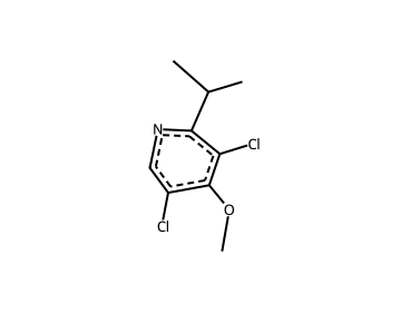 COc1c(Cl)cnc(C(C)C)c1Cl